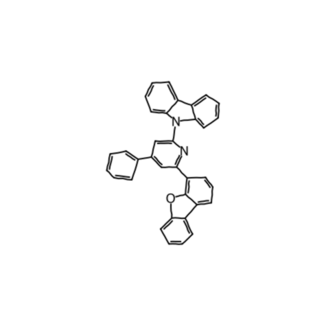 c1ccc(-c2cc(-c3cccc4c3oc3ccccc34)nc(-n3c4ccccc4c4ccccc43)c2)cc1